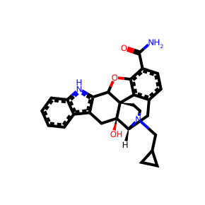 NC(=O)c1ccc2c3c1OC1c4[nH]c5ccccc5c4C[C@@]4(O)[C@@H](C2)N(CC2CC2)CC[C@]314